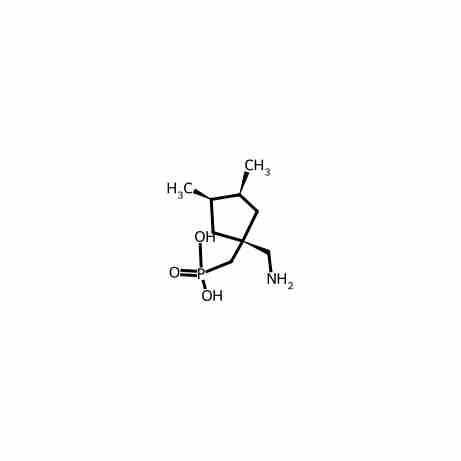 C[C@@H]1C[C@@](CN)(CP(=O)(O)O)C[C@@H]1C